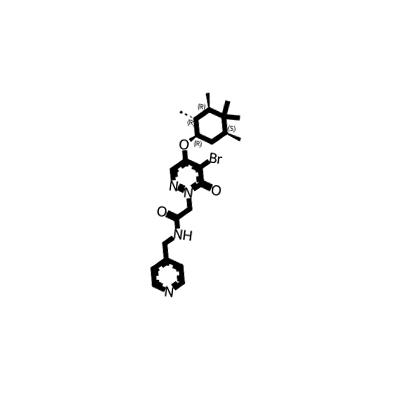 C[C@@H]1[C@@H](C)C(C)(C)[C@@H](C)C[C@H]1Oc1cnn(CC(=O)NCc2ccncc2)c(=O)c1Br